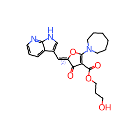 O=C(OCCCO)C1=C(N2CCCCCC2)O/C(=C\c2c[nH]c3ncccc23)C1=O